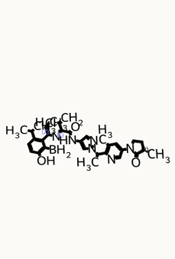 Bc1c(O)ccc(C(C)C)c1C(=C/C)/N=C(\C(=C)C)C(=O)Nc1cnn(C(C)c2ncc(N3CC[C@@H](C)C3=O)cc2C)c1